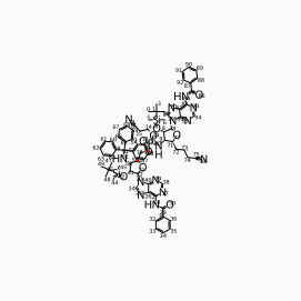 CC(C)(C)[Si](C)(C)O[C@@H]1[C@H](NP(=O)(OCCC#N)OC[C@H]2O[C@@H](n3cnc4c(NC(=O)c5ccccc5)ncnc43)[C@H](O[Si](C)(C)C(C)(C)C)[C@@H]2NC(c2ccccc2)(c2ccccc2)c2ccccc2)[C@H](C[CH]CC#N)O[C@H]1n1cnc2c(NC(=O)c3ccccc3)ncnc21